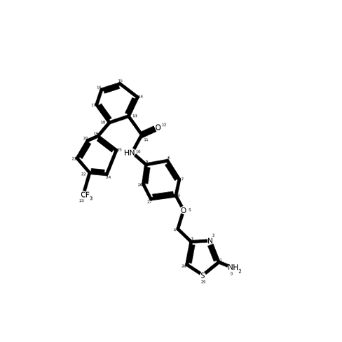 Nc1nc(COc2ccc(NC(=O)c3ccccc3-c3ccc(C(F)(F)F)cc3)cc2)cs1